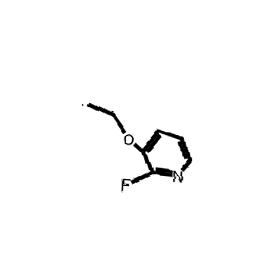 [CH2]COc1cccnc1F